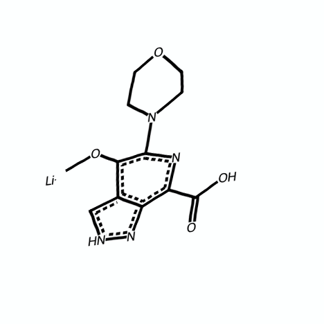 COc1c(N2CCOCC2)nc(C(=O)O)c2n[nH]cc12.[Li]